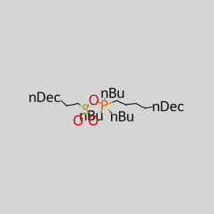 CCCCCCCCCCCCCCP(CCCC)(CCCC)(CCCC)OS(=O)(=O)CCCCCCCCCCCC